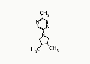 Cc1cnc(N2CC(C)C(C)C2)cn1